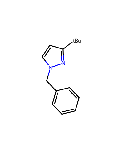 CC(C)(C)c1[c]cn(Cc2ccccc2)n1